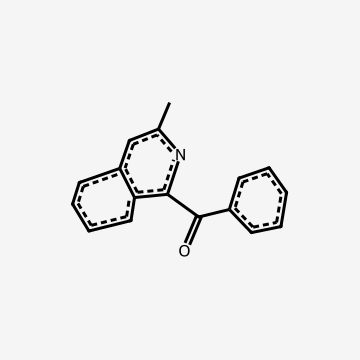 Cc1cc2ccccc2c(C(=O)c2ccccc2)n1